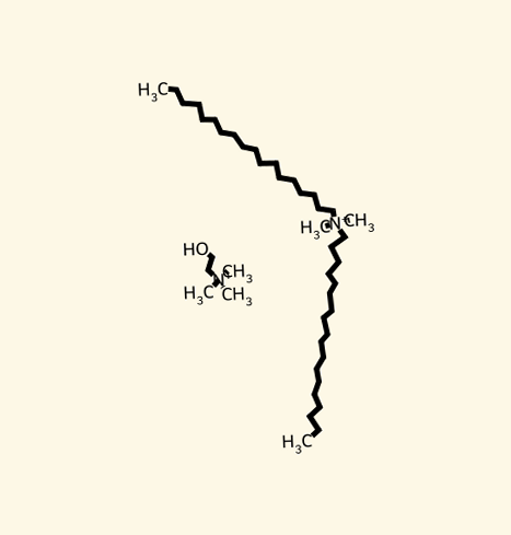 CCCCCCCCCCCCCCCCCC[N+](C)(C)CCCCCCCCCCCCCCCCCC.C[N+](C)(C)CCO